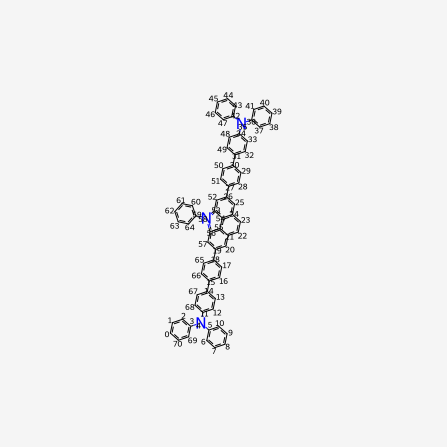 c1ccc(N(c2ccccc2)c2ccc(-c3ccc(-c4cc5ccc6cc(-c7ccc(-c8ccc(N(c9ccccc9)c9ccccc9)cc8)cc7)cc7c6c5c(c4)n7-c4ccccc4)cc3)cc2)cc1